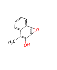 Cc1c(O)c2c(c3ccccc13)O2